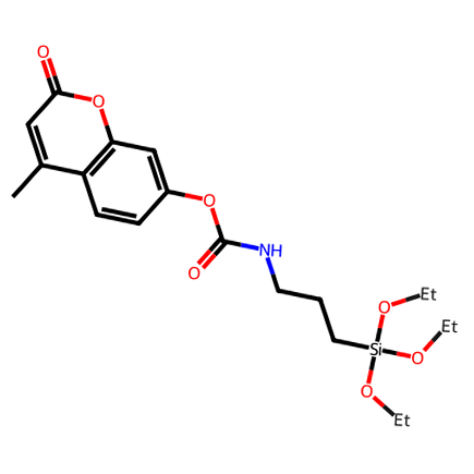 CCO[Si](CCCNC(=O)Oc1ccc2c(C)cc(=O)oc2c1)(OCC)OCC